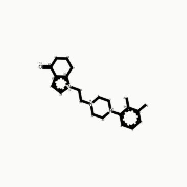 Cc1cccc(N2CCN(CCn3ccc4c3CCCC4=O)CC2)c1C